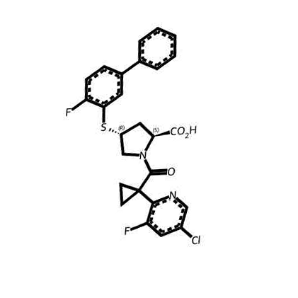 O=C(O)[C@@H]1C[C@@H](Sc2cc(-c3ccccc3)ccc2F)CN1C(=O)C1(c2ncc(Cl)cc2F)CC1